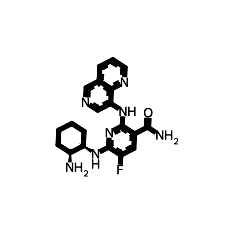 NC(=O)c1cc(F)c(N[C@@H]2CCCC[C@@H]2N)nc1Nc1cncc2cccnc12